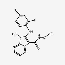 CCONC(=O)c1c(Nc2ccc(I)cc2F)n(C)c2ncccc12